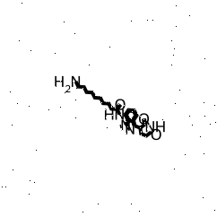 Cn1nc(C2CCC(=O)NC2=O)c2cccc(NC(=O)CCCCCCCCCN)c21